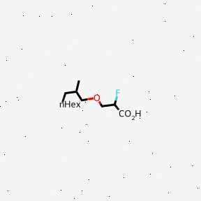 CCCCCCCC(C)COCC(F)C(=O)O